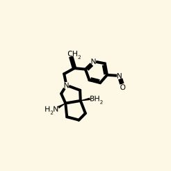 B[C@@]12CCC[C@]1(N)CN(CC(=C)c1ccc(N=O)cn1)C2